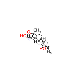 CC1C(=O)/C(=C\O)C[C@@]2(C)C1CC[C@@H]1[C@H]2CC[C@@]2(C)[C@H]1CCC2(C)O